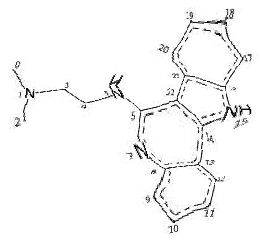 CN(C)CCNc1nc2ccccc2c2[nH]c3ccccc3c12